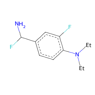 CCN(CC)c1ccc(C(N)F)cc1F